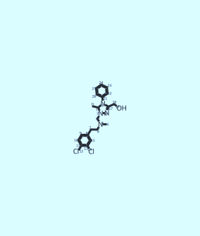 CC1N(CN(C)CCc2ccc(Cl)c(Cl)c2)N=C(CO)N1c1ccccc1